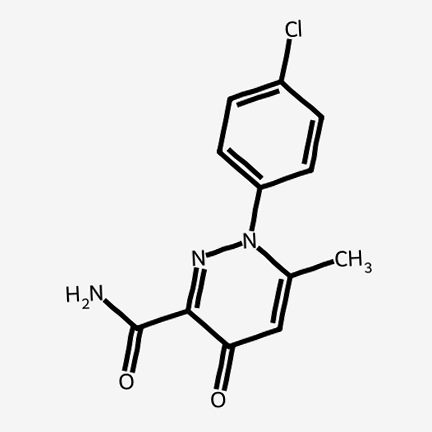 Cc1cc(=O)c(C(N)=O)nn1-c1ccc(Cl)cc1